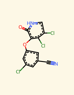 N#Cc1cc(Cl)cc(Oc2c(Cl)c(Cl)c[nH]c2=O)c1